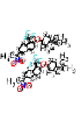 CC(c1ccc2c(C(F)(F)F)c(O[C@H]3CC[C@H](C(C)(C)C)CC3)ccc2c1)[N+](=O)[O-].CC(c1ccc2c(C(F)(F)F)c(O[C@H]3CC[C@H](C(C)(C)C)CC3)ccc2c1)[N+](=O)[O-]